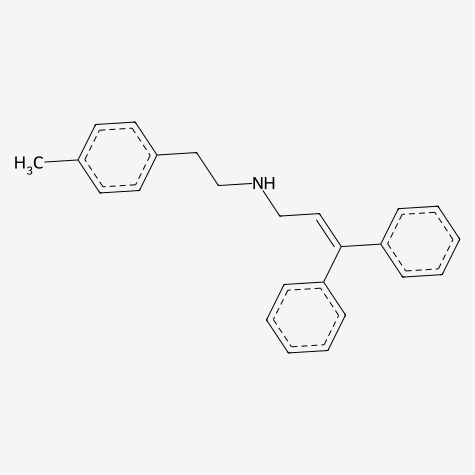 Cc1ccc(CCNCC=C(c2ccccc2)c2ccccc2)cc1